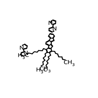 CCCCCCCCc1c2c(c(CCCCCCCC)c(CCCCCCCC)c1CCCCCCCC)-c1ccc3c(c1=C2)=Cc1ccccc1-3.c1ccc(-c2ccccn2)nc1.c1ccc(-c2ccccn2)nc1